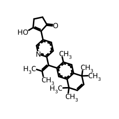 CC(C)=C(c1ccc(C2=C(O)CCC2=O)cn1)c1cc2c(cc1C)C(C)(C)C=CC2(C)C